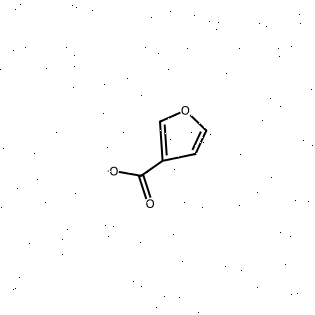 [O]C(=O)c1ccoc1